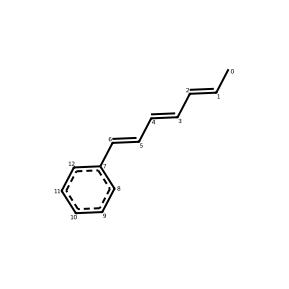 CC=CC=CC=Cc1ccccc1